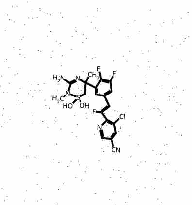 CN1C(N)=NC(C)(c2cc(C=C(F)c3ncc(C#N)cc3Cl)cc(F)c2F)CS1(O)O